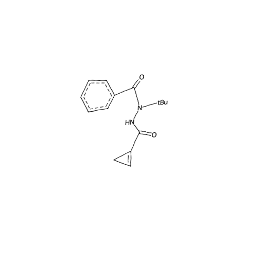 CC(C)(C)N(NC(=O)C1=CC1)C(=O)c1ccccc1